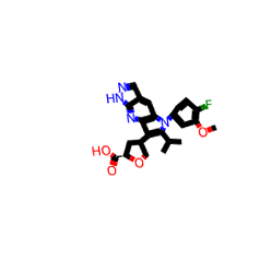 COc1cc(-n2c(C(C)C)c(C3CO[C@H](C(=O)O)C3)c3nc4[nH]ncc4cc32)ccc1F